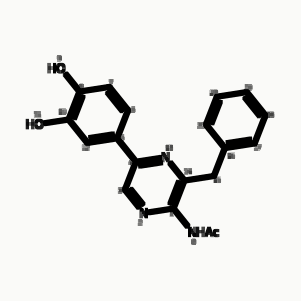 CC(=O)Nc1ncc(-c2ccc(O)c(O)c2)nc1Cc1ccccc1